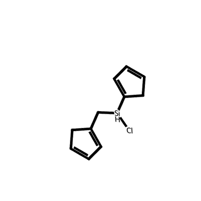 Cl[SiH](CC1=CC=CC1)C1=CC=CC1